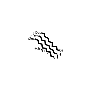 CCCCCCCCCCCCCCCCCCS.CCCCCCCCCCCCCCCCCCS.CCCCCCCCCCCCCCCCCCS.[CH3][SnH]